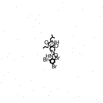 CCCN1C(=O)C(CC(C)C)NC(=O)C12CCN(C(=O)Nc1c(Br)cc(Br)cc1Br)CC2